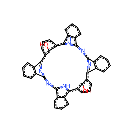 Oc1c2cccc1c1[nH]c(nc3nc(c4cccc(c4O)c4[nH]c(nc5nc2-c2ccccc2-5)c2ccccc24)-c2ccccc2-3)c2ccccc21